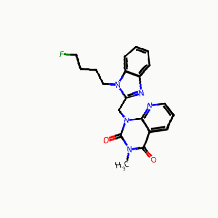 Cn1c(=O)c2cccnc2n(Cc2nc3ccccc3n2CCCCF)c1=O